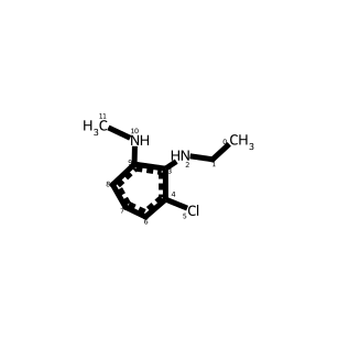 CCNc1c(Cl)cccc1NC